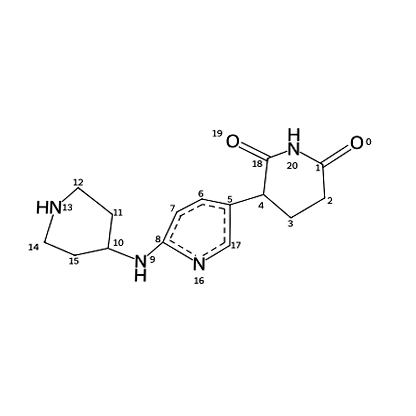 O=C1CCC(c2ccc(NC3CCNCC3)nc2)C(=O)N1